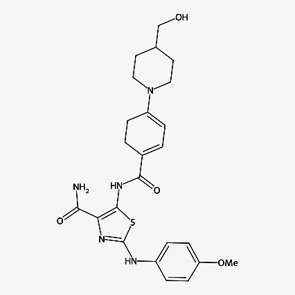 COc1ccc(Nc2nc(C(N)=O)c(NC(=O)C3=CC=C(N4CCC(CO)CC4)CC3)s2)cc1